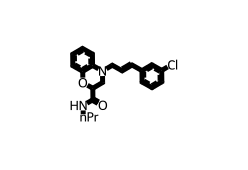 CCCNC(=O)C1CN(C/C=C/c2cccc(Cl)c2)c2ccccc2O1